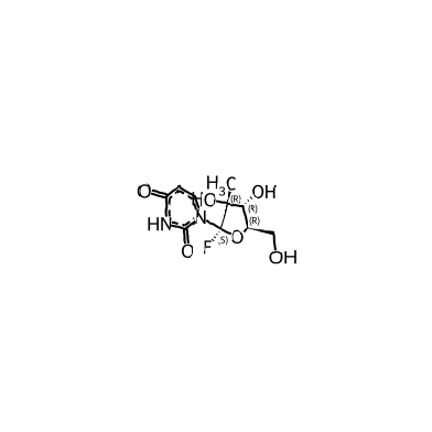 C[C@@]1(O)[C@H](O)[C@@H](CO)O[C@@]1(F)n1ccc(=O)[nH]c1=O